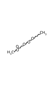 CCCCCCOCCOCCOCCCC(=O)OCCC